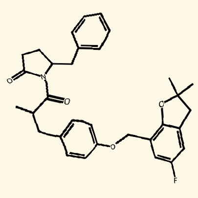 CC(Cc1ccc(OCc2cc(F)cc3c2OC(C)(C)C3)cc1)C(=O)N1C(=O)CCC1Cc1ccccc1